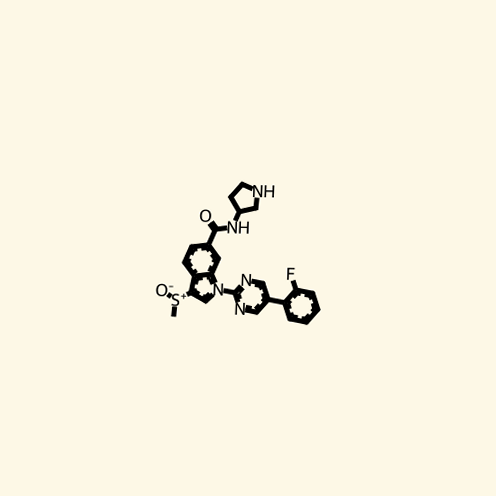 C[S+]([O-])c1cn(-c2ncc(-c3ccccc3F)cn2)c2cc(C(=O)NC3CCNC3)ccc12